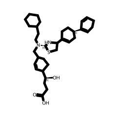 O=C(O)CC[C@H](O)C1C=CC(CN(CCC2CCCCC2)[C@@H]2NC(C3=CC[C@H](C4=CCCC=C4)CC3)CS2)CC1